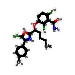 CC(=O)OCCCC(Oc1ccc(F)c(C(N)=O)c1F)c1nc(-c2ccc(C(F)(F)F)cc2)c(Br)o1